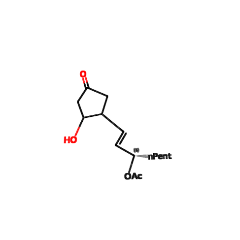 CCCCC[C@@H](C=CC1CC(=O)CC1O)OC(C)=O